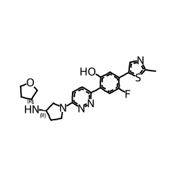 Cc1ncc(-c2cc(O)c(-c3ccc(N4CC[C@@H](N[C@@H]5CCOC5)C4)nn3)cc2F)s1